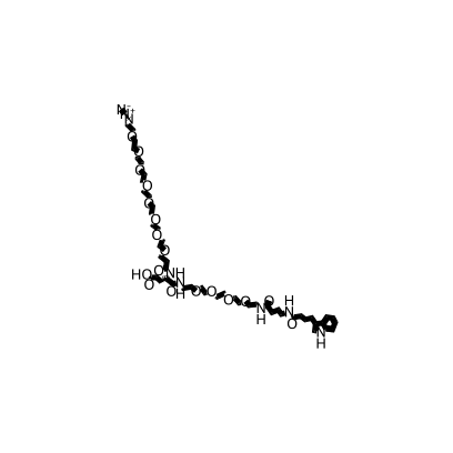 [N-]=[N+]=NCCOCCOCCOCCOCCOCCOCCOCCOCCC(=O)N[C@H](CCC(=O)O)C(=O)NCCOCCOCCOCCOCCNC(=O)CCCNC(=O)CCCc1c[nH]c2ccccc12